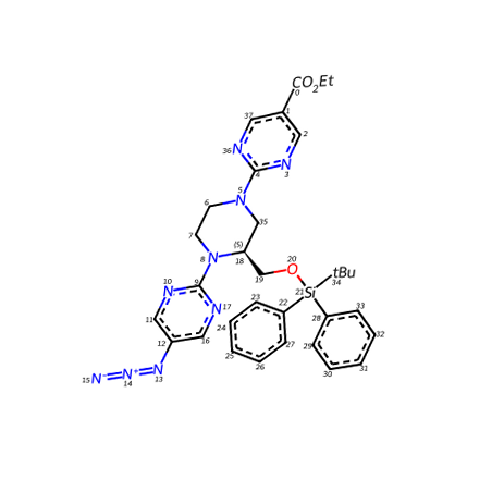 CCOC(=O)c1cnc(N2CCN(c3ncc(N=[N+]=[N-])cn3)[C@H](CO[Si](c3ccccc3)(c3ccccc3)C(C)(C)C)C2)nc1